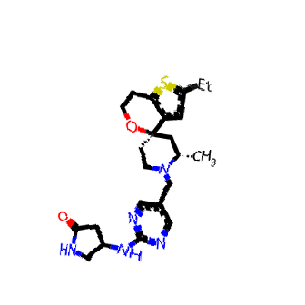 CCc1cc2c(s1)CCO[C@@]21CCN(Cc2cnc(NC3CNC(=O)C3)nc2)[C@@H](C)C1